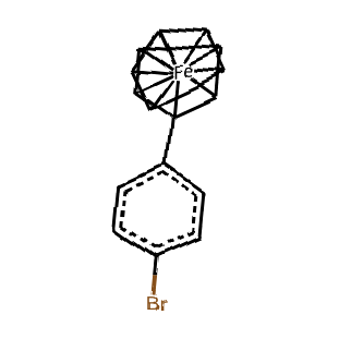 Brc1ccc([C]23[CH]4[CH]5[CH]6[CH]2[Fe]56432789[CH]3[CH]2[CH]7[CH]8[CH]39)cc1